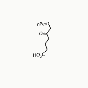 CCCCCCC(=O)CCCC(=O)O